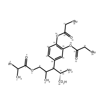 CC(C)C(C)C(=O)OCC(C)C(c1ccc(OC(=O)CC(C)(C)C)c(OC(=O)CC(C)(C)C)c1)[C@H](N)C(=O)O